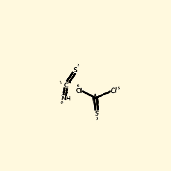 N=C=S.S=C(Cl)Cl